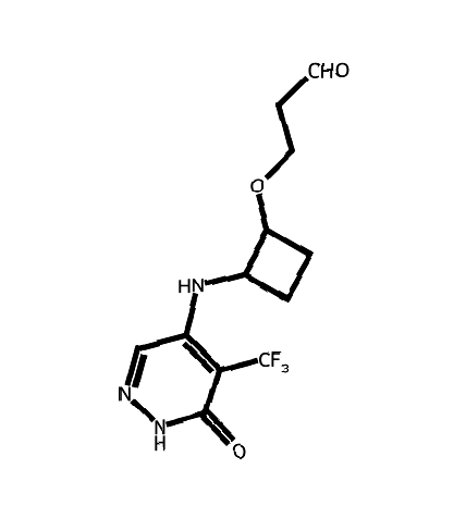 O=CCCOC1CCC1Nc1cn[nH]c(=O)c1C(F)(F)F